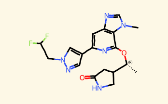 C[C@@H](Oc1nc(-c2cnn(CC(F)F)c2)cc2ncn(C)c12)C1CNC(=O)C1